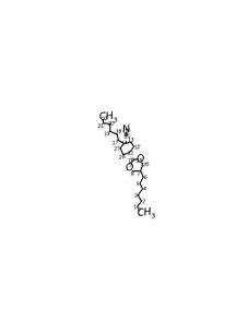 CCCCCCCC1COC([C@H]2CC[C@](C#N)(CCCCCC)CC2)OC1